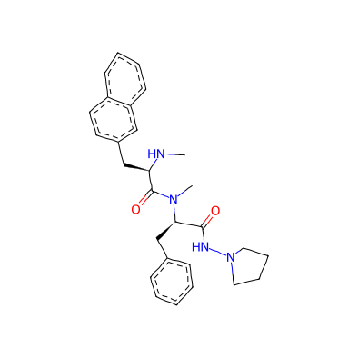 CN[C@H](Cc1ccc2ccccc2c1)C(=O)N(C)[C@H](Cc1ccccc1)C(=O)NN1CCCC1